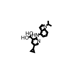 CC(C)n1ccc2c(Nc3ncc(C4CC4)cc3C(O)O)cccc21